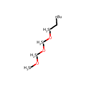 CCCCC[SiH2]O[SiH2]O[SiH2]O[SiH3]